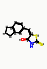 O=C1NC(=S)SC1=Cc1ccc2c(c1)CCC2